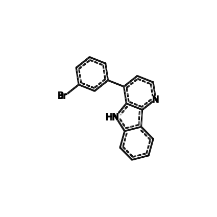 Brc1cccc(-c2ccnc3c2[nH]c2ccccc23)c1